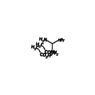 CC(=O)O.CC(=O)O.CCCC(N)N